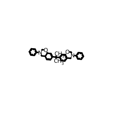 CC(C)(C1=CC2OCN(c3ccccc3)CC2C=C1)c1ccc2c(c1)OCN(c1ccccc1)C2